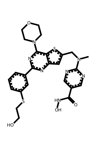 CN(Cc1cc2nc(-c3cccc(SCCO)c3)nc(N3CCOCC3)c2s1)c1ncc(C(=O)NO)cn1